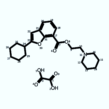 O=C(O)C(=O)O.O=C(OCCN1CCCCC1)c1cccc2cc(C3CCCCC3)oc12